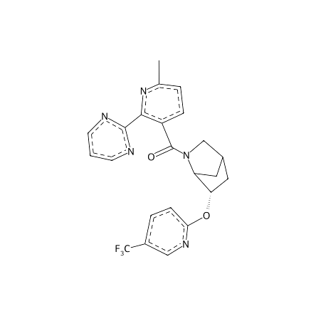 Cc1ccc(C(=O)N2CC3CC2[C@@H](Oc2ccc(C(F)(F)F)cn2)C3)c(-c2ncccn2)n1